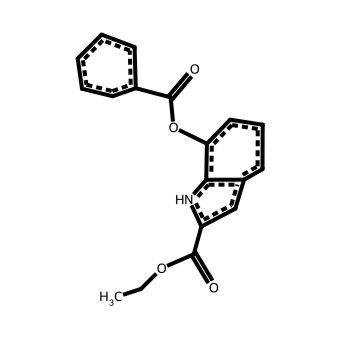 CCOC(=O)c1cc2cccc(OC(=O)c3ccccc3)c2[nH]1